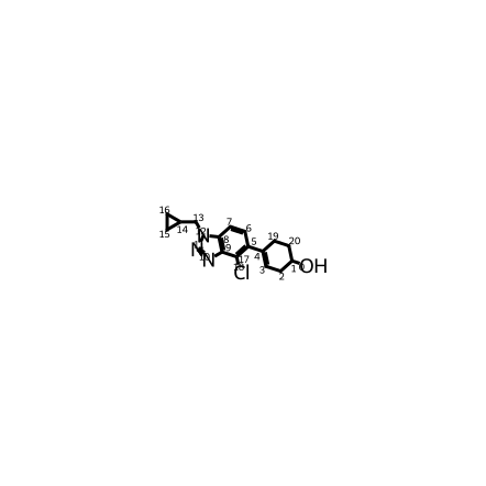 OC1CC=C(c2ccc3c(nnn3CC3CC3)c2Cl)CC1